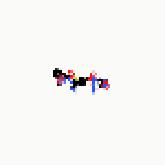 CCOc1ccccc1CCC(=O)Nc1sc2c(c1C#N)CCC(COC(=O)NCc1cnoc1C)C2